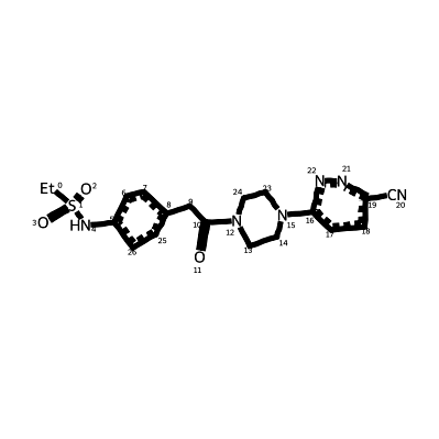 CCS(=O)(=O)Nc1ccc(CC(=O)N2CCN(c3ccc(C#N)nn3)CC2)cc1